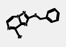 Brc1nccn2nc(SCc3ccccc3)nc12